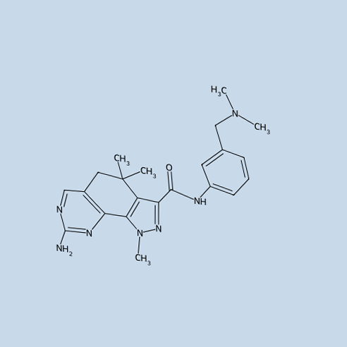 CN(C)Cc1cccc(NC(=O)c2nn(C)c3c2C(C)(C)Cc2cnc(N)nc2-3)c1